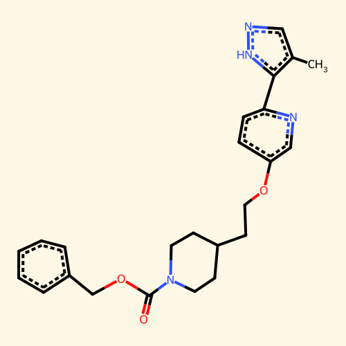 Cc1cn[nH]c1-c1ccc(OCCC2CCN(C(=O)OCc3ccccc3)CC2)cn1